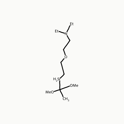 CCN(CC)CCOCC[SiH2]C(C)(OC)OC